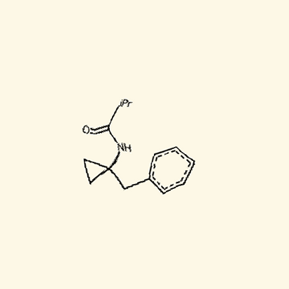 CC(C)C(=O)NC1(Cc2ccccc2)CC1